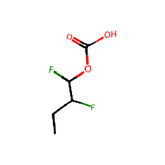 CCC(F)C(F)OC(=O)O